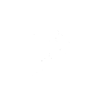 C=C(C)[C@@H]1CC[C@]2(C(=O)N3C[C@H](OCCOC)C[C@H]3c3nc(-c4cccc(F)c4)cn3CCN3CCCC3)CC[C@]3(C)[C@H](CC[C@@H]4[C@@]5(C)CC[C@H](OC(=O)[C@H]6C[C@@H](C(=O)O)C6(C)C)C(C)(C)[C@@H]5CC[C@]43C)[C@@H]12